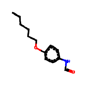 CCCCCCOc1ccc(NC=O)cc1